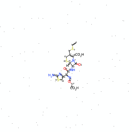 C=CSCC1=C(C(=O)O)N2C(=O)C(NC(=O)C(=NOCC(=O)O)c3csc(N)n3)[C@@H]2SC1